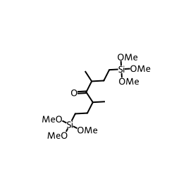 CO[Si](CCC(C)C(=O)C(C)CC[Si](OC)(OC)OC)(OC)OC